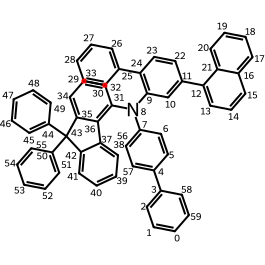 c1ccc(-c2ccc(N(c3cc(-c4cccc5ccccc45)ccc3-c3ccccc3)c3cccc4c3-c3ccccc3C4(c3ccccc3)c3ccccc3)cc2)cc1